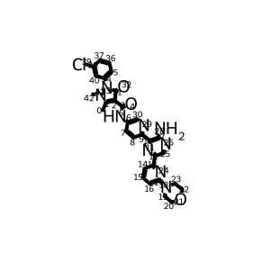 Cc1c(C(=O)Nc2ccc(-c3nc(-c4cccc(N5CCOCC5)n4)cnc3N)nc2)c(=O)n(-c2cccc(Cl)c2)n1C